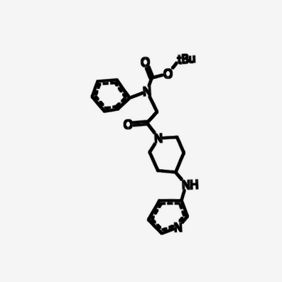 CC(C)(C)OC(=O)N(CC(=O)N1CCC(Nc2cccnc2)CC1)c1ccccc1